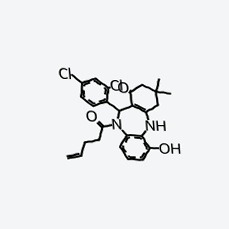 C=CCCC(=O)N1c2cccc(O)c2NC2=C(C(=O)CC(C)(C)C2)C1c1ccc(Cl)cc1Cl